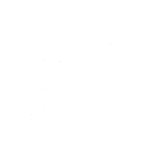 C=CC(=O)Oc1ccc(C=Cc2ccc3c(c2)c2ccccc2n3/C=C/c2ccc(C)s2)cc1